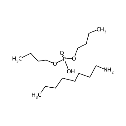 CCCCCCCCN.CCCCOP(=O)(O)OCCCC